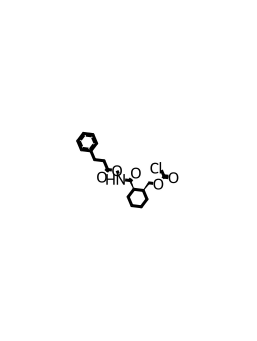 O=C(Cl)OC[C@H]1CCCC[C@H]1C(=O)NOC(=O)CCc1ccccc1